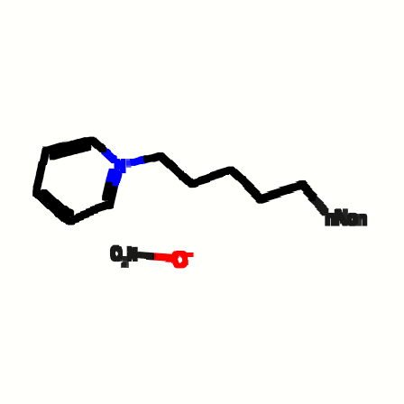 CCCCCCCCCCCCCC[n+]1ccccc1.O=[N+]([O-])[O-]